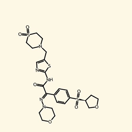 O=C(Nc1ncc(CN2CCS(=O)(=O)CC2)s1)/C(=N/N1CCOCC1)c1ccc(S(=O)(=O)[C@H]2CCOC2)cc1